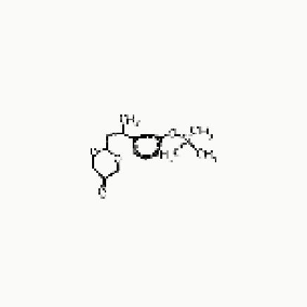 CC(CC1OCC(=O)CO1)c1cccc(O[Si](C)(C)C)c1